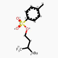 CCCCC(CCOS(=O)(=O)c1ccc(C)cc1)C(F)(F)F